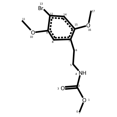 [CH2]OC(=O)NCCc1cc(OC)c(Br)cc1OC